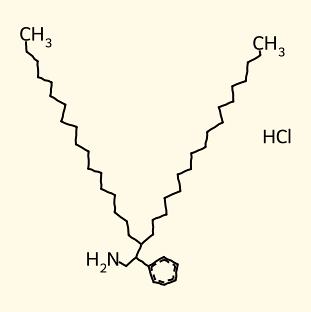 CCCCCCCCCCCCCCCCCCC(CCCCCCCCCCCCCCCCCC)C(CN)c1ccccc1.Cl